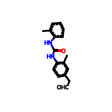 Cc1ccccc1NC(=O)Nc1ccc(CC=O)cc1C